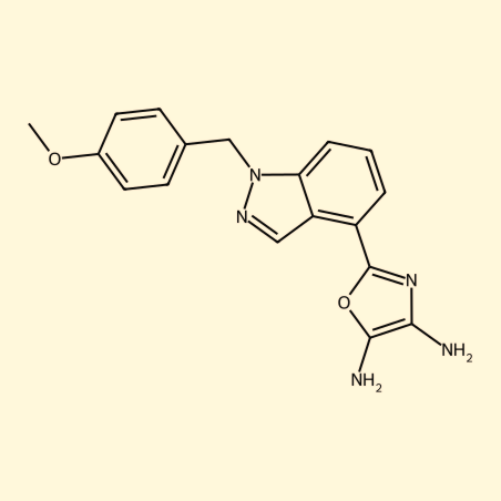 COc1ccc(Cn2ncc3c(-c4nc(N)c(N)o4)cccc32)cc1